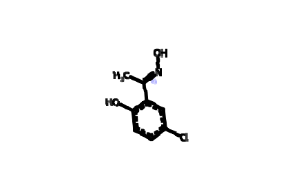 C/C(=N\O)c1cc(Cl)ccc1O